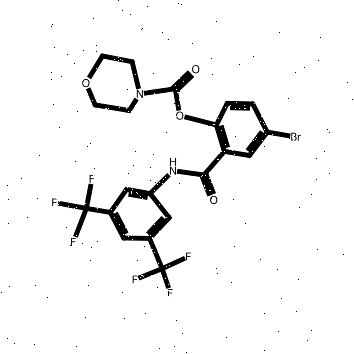 O=C(Nc1cc(C(F)(F)F)cc(C(F)(F)F)c1)c1cc(Br)ccc1OC(=O)N1CCOCC1